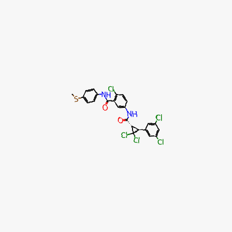 CSc1ccc(NC(=O)c2cc(NC(=O)[C@@H]3[C@@H](c4cc(Cl)cc(Cl)c4)C3(Cl)Cl)ccc2Cl)cc1